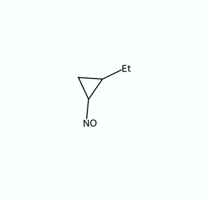 CCC1CC1N=O